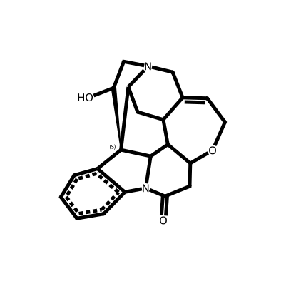 O=C1CC2OCC=C3CN4CC(O)[C@]56c7ccccc7N1C5C2C3CC46